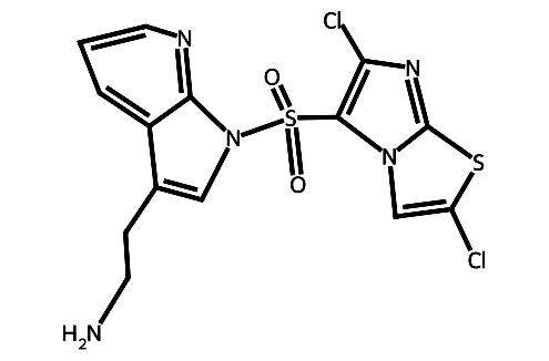 NCCc1cn(S(=O)(=O)c2c(Cl)nc3sc(Cl)cn23)c2ncccc12